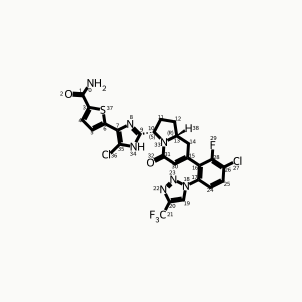 NC(=O)c1ccc(-c2nc([C@@H]3CC[C@@H]4CC(c5c(-n6cc(C(F)(F)F)nn6)ccc(Cl)c5F)=CC(=O)N43)[nH]c2Cl)s1